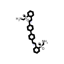 NCS(=O)(=O)c1ccccc1/C=C/c1ccc(-c2ccc(/C=C/c3ccccc3S(=O)(=O)CN)cc2)cc1